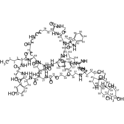 CCCC[C@H](NC(=O)[C@H](CO)NC(=O)C(Cc1ccc(O)cc1)NC(=O)CCNC(=O)COCCOCCNC(=O)CCC(C)[C@H]1CC[C@H]2C3CC[C@]4(C)CC(O)CC[C@]4(C)[C@H]3CC[C@]12C)C(=O)N[C@H]1CCC(=O)CNCCCC[C@@H](C(N)=O)NC(=O)[C@H](Cc2c[nH]c3ccccc23)NC(=O)[C@H](CCCNC(=N)N)NC(=O)[C@@H](Cc2ccccc2)NC(=O)[C@@H]2C[C@@H](O)CN2C1=O